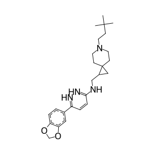 CC(C)(C)CCN1CCC2(CC1)CC2CNC(=N)/C=C\C(=N)c1ccc2c(c1)OCO2